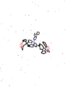 CC1(C)c2ccccc2-c2ccc(N(c3cccc(-c4ccc5c(c4)-c4ccccc4C54c5ccccc5Oc5ccccc54)c3)c3cccc4c3-c3ccccc3C43c4ccccc4Oc4ccccc43)cc21